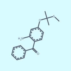 CSC(C)(C)Oc1ccc(C(=O)c2ccccc2)c(N)c1